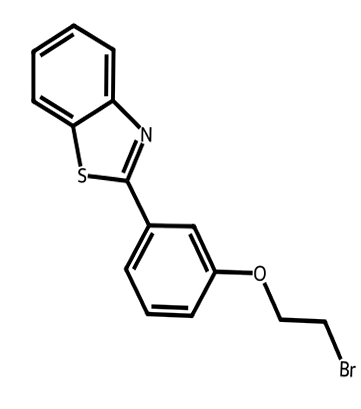 BrCCOc1cccc(-c2nc3ccccc3s2)c1